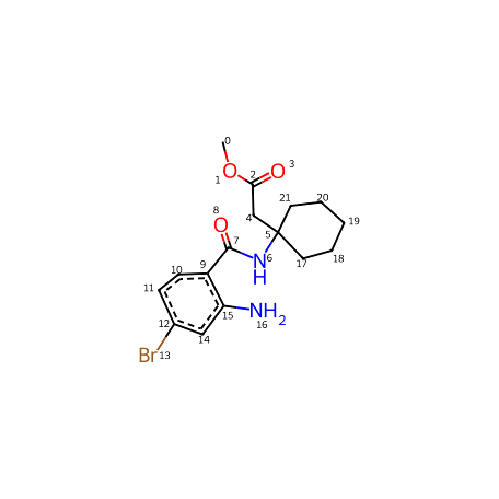 COC(=O)CC1(NC(=O)c2ccc(Br)cc2N)CCCCC1